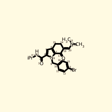 CC(C)NC(=O)c1cc2c(n1Cc1ccc(Br)cc1)C(=O)/C(=C/N(C)C)CC2